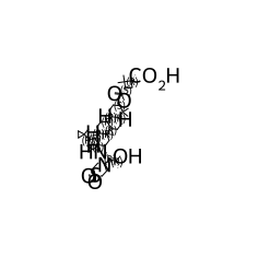 C[C@@H](O)[C@@H](CN[C@]12CC[C@@H](C3(C)CC3)[C@@H]1[C@H]1CC[C@@H]3[C@@]4(C)CC[C@H](OC(=O)[C@H]5C[C@@H](C(=O)O)C5(C)C)C(C)(C)[C@@H]4CC[C@@]3(C)[C@]1(C)CC2)N1CCS(=O)(=O)CC1